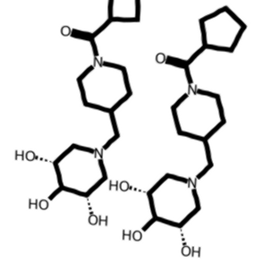 O=C(C1CCC1)N1CCC(CN2C[C@@H](O)C(O)[C@@H](O)C2)CC1.O=C(C1CCCC1)N1CCC(CN2C[C@@H](O)C(O)[C@@H](O)C2)CC1